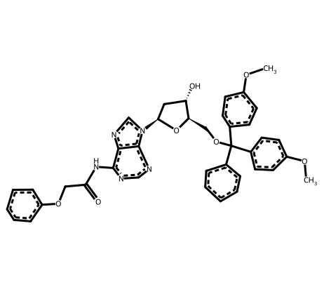 COc1ccc(C(OC[C@H]2O[C@@H](n3cnc4c(NC(=O)COc5ccccc5)ncnc43)C[C@@H]2O)(c2ccccc2)c2ccc(OC)cc2)cc1